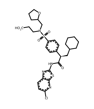 O=C(O)CCN(CC1CCCO1)S(=O)(=O)c1ccc([C@@H](CC2CCCCC2)C(=O)Nc2nc3ccc(Cl)nc3s2)cc1